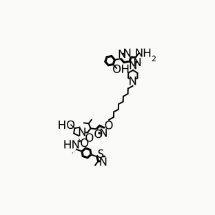 Cc1ncsc1-c1ccc([C@H](C)NC(=O)[C@@H]2C[C@@H](O)CN2C(=O)C(c2cc(OCCCCCCCCCCN3CCC(n4nc(N)c5nnc(-c6ccccc6O)cc54)CC3)no2)C(C)C)cc1